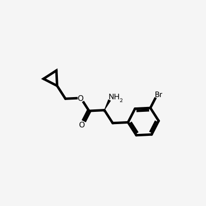 N[C@@H](Cc1cccc(Br)c1)C(=O)OCC1CC1